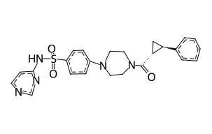 O=C([C@@H]1C[C@H]1c1ccccc1)N1CCN(c2ccc(S(=O)(=O)Nc3ccncn3)cc2)CC1